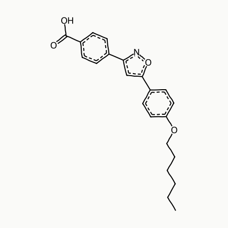 CCCCCCOc1ccc(-c2cc(-c3ccc(C(=O)O)cc3)no2)cc1